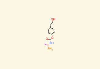 O=C(NB(P)I)Oc1ccc(CCO)cc1